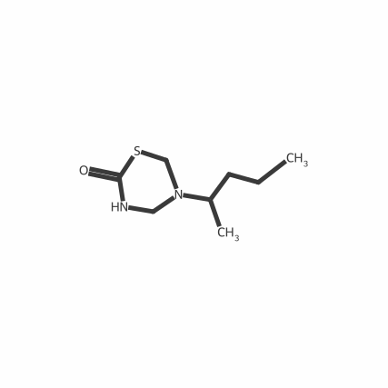 CCCC(C)N1CNC(=O)SC1